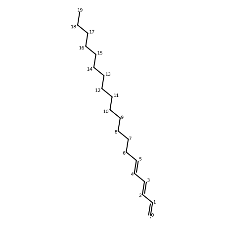 [CH]=C/C=C/C=C/CCCCCCCCCCCCCC